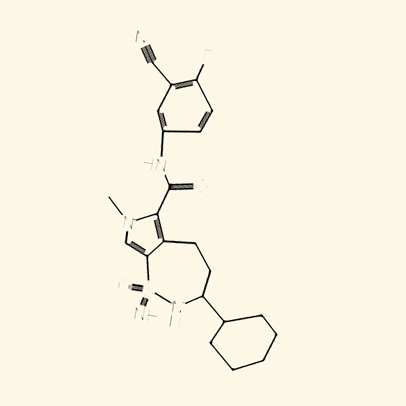 Cn1cc2c(c1C(=O)Nc1ccc(F)c(C#N)c1)CCC(C1CCCCC1)NS2(=N)=O